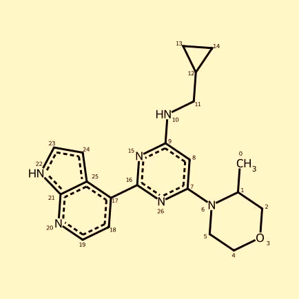 CC1COCCN1c1cc(NCC2CC2)nc(-c2ccnc3[nH]ccc23)n1